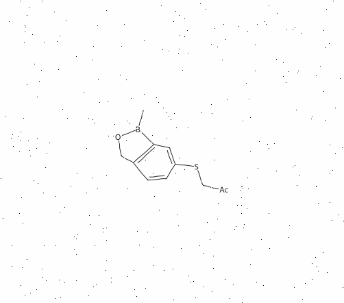 CB1OCc2ccc(SCC(C)=O)cc21